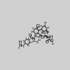 CNCc1ccc(C(=O)N2CCC[C@@H]([C@@](O)(CCCNC(=O)OC)c3cccc(Cl)c3-c3cc(C)cc(F)c3)C2)cc1